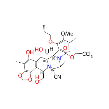 C=CCOc1c(OC)c(C)cc2c1[C@@H]1[C@@H]3C(O)c4c(O)c(C)c5c(c4[C@H](CO)N3[C@@H](C#N)C(C2)N1C(=O)OCC(Cl)(Cl)Cl)OCO5